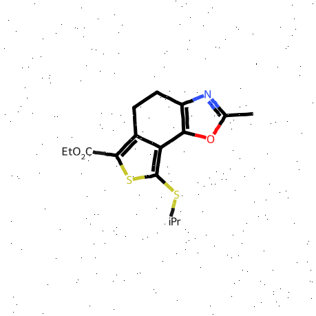 CCOC(=O)c1sc(SC(C)C)c2c1CCc1nc(C)oc1-2